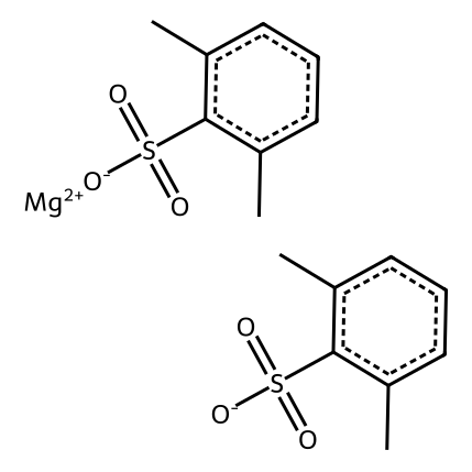 Cc1cccc(C)c1S(=O)(=O)[O-].Cc1cccc(C)c1S(=O)(=O)[O-].[Mg+2]